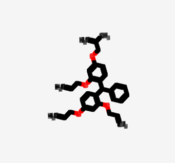 C=CCOc1ccc(C(c2ccccc2)c2ccc(OCC(=C)C)cc2OCC=C)c(OCC=C)c1